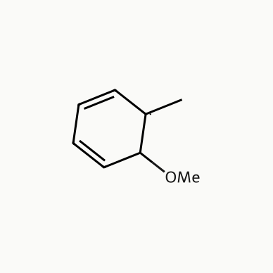 COC1C=CC=C[C]1C